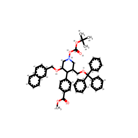 COC(=O)c1ccc(C2C(COC(c3ccccc3)(c3ccccc3)c3ccccc3)CN(OC(=O)OC(C)(C)C)CC2OCc2ccc3ccccc3c2)cc1